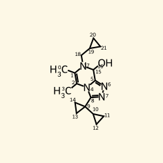 CC1=C(C)n2c(nnc2C2(C3CC3)CC2)C(O)N1CC1CC1